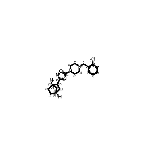 Clc1ccccc1CN1CCN(c2nc(C3C[C@@H]4CC[C@H]3C4)no2)CC1